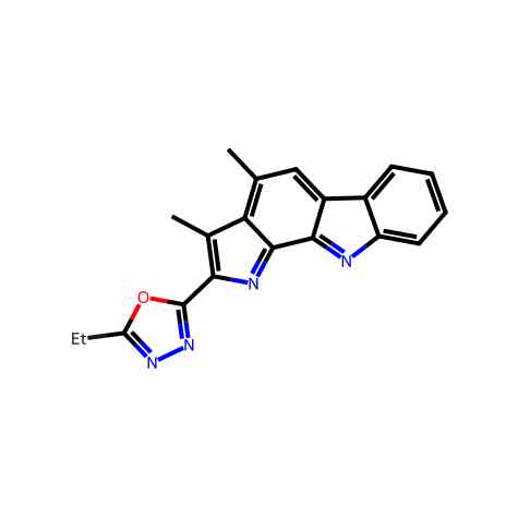 CCc1nnc(C2=C(C)c3c(C)cc4c(c3=N2)=Nc2ccccc2-4)o1